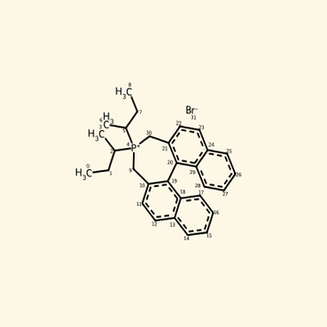 CCC(C)[P+]1(C(C)CC)Cc2ccc3ccccc3c2-c2c(ccc3ccccc23)C1.[Br-]